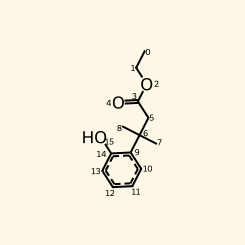 CCOC(=O)CC(C)(C)c1ccccc1O